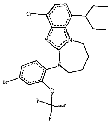 CCC(CC)c1ccc(Cl)c2nc3n(c12)CCCCN3c1ccc(Br)cc1OC(F)(F)F